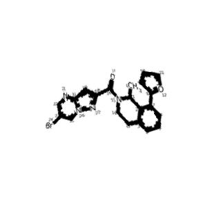 CC1c2c(cccc2-c2ccco2)CCN1C(=O)c1cc2ncc(Br)cn2n1